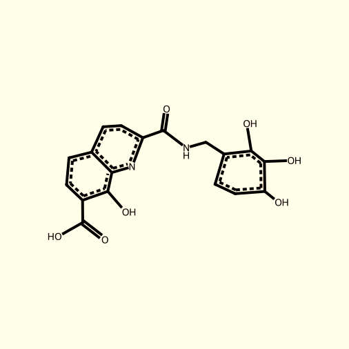 O=C(NCc1ccc(O)c(O)c1O)c1ccc2ccc(C(=O)O)c(O)c2n1